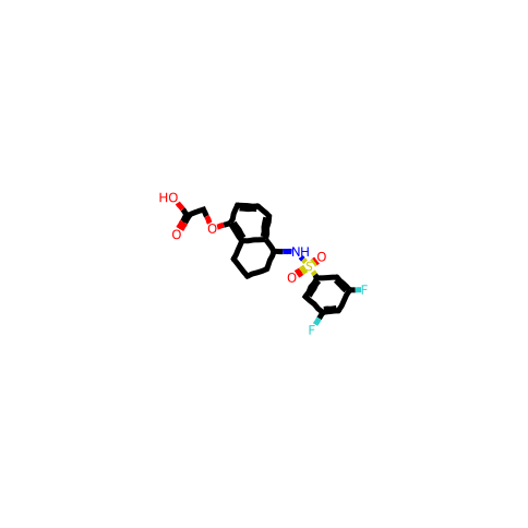 O=C(O)COc1cccc2c1CCCC2NS(=O)(=O)c1cc(F)cc(F)c1